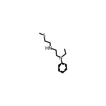 CCN(CCNCCSC)c1ccccc1